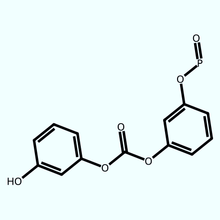 O=POc1cccc(OC(=O)Oc2cccc(O)c2)c1